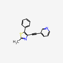 Cc1nc(C#Cc2cccnc2)c(-c2ccccc2)s1